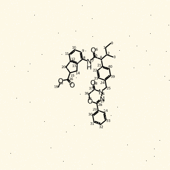 CCC(C)C(C(=O)Nc1cccc2c1CC(C(=O)OC)C2)c1ccc(CN2N=C(c3ccccc3)OCC2=O)cc1